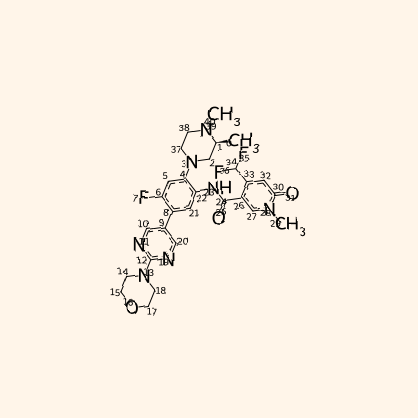 C[C@H]1CN(c2cc(F)c(-c3cnc(N4CCOCC4)nc3)cc2NC(=O)c2cn(C)c(=O)cc2C(F)F)CCN1C